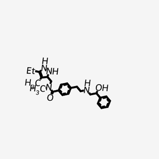 CCC1=C(C)C(CN(C)C(=O)c2ccc(CCNCC(O)c3ccccc3)cc2)NN1